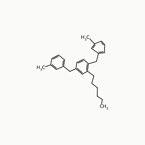 CCCCCCc1cc(Cc2cccc(C)c2)ccc1Cc1cccc(C)c1